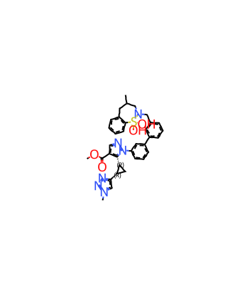 COC(=O)c1cnn(-c2cccc(-c3cccc(CN4CC(C)Cc5ccccc5S4(O)O)c3)c2)c1[C@@H]1C[C@H]1c1cn(C)nn1